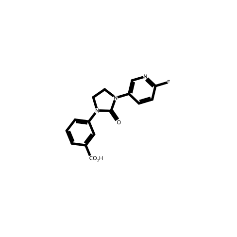 O=C(O)c1cccc(N2CCN(c3ccc(F)nc3)C2=O)c1